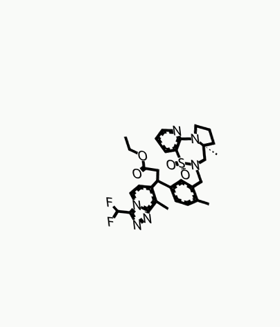 CCOC(=O)CC(c1ccc(C)c(CN2C[C@]3(C)CCCN3c3ncccc3S2(=O)=O)c1)c1ccn2c(C(F)F)nnc2c1C